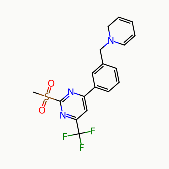 CS(=O)(=O)c1nc(-c2cccc(CN3C=CC=CC3)c2)cc(C(F)(F)F)n1